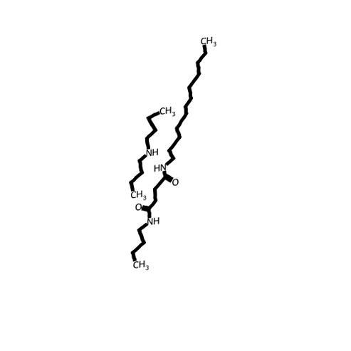 CCCCCCCCCCCCNC(=O)CCC(=O)NCCCC.CCCCNCCCC